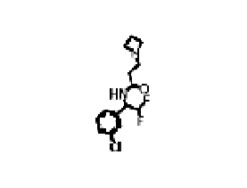 O=C(CCN1CCC1)NC(c1cccc(Cl)c1)C(F)F